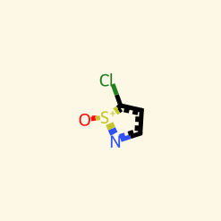 [O-][s+]1nccc1Cl